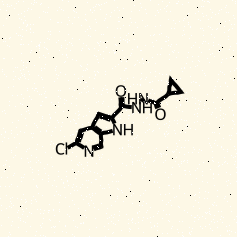 O=C(NNC(=O)C1CC1)c1cc2cc(Cl)ncc2[nH]1